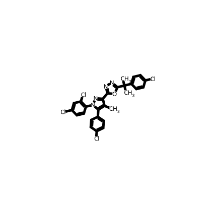 Cc1c(-c2nnc(C(C)(C)c3ccc(Cl)cc3)o2)nn(-c2ccc(Cl)cc2Cl)c1-c1ccc(Cl)cc1